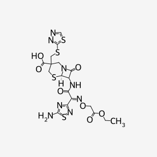 CCOC(=O)CON=C(C(=O)NC1C(=O)N2CC(CSc3nncs3)(C(=O)O)CS[C@H]12)c1nsc(N)n1